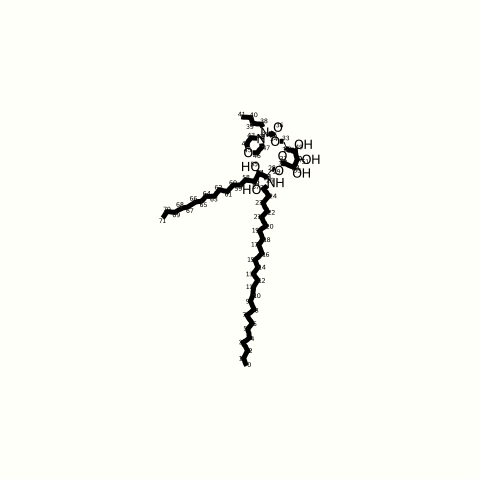 CCCCCCCCCCCCCCCCCCCCCCCCCCN[C@@H](CO[C@H]1O[C@H](COC(=O)N(CCCC)N2CCOCC2)[C@H](O)[C@H](O)[C@H]1O)[C@H](O)[C@H](O)CCCCCCCCCCCCCC